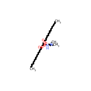 CCCCCCCCC=CCCCCCCCC(=O)OCC(COC(=O)CCCCCCCC=CCCCCCCCC)OC(=O)NCCN(CC)CC